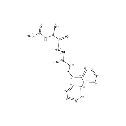 CCCC(NC(=O)C(=O)O)C(=O)NNC(=O)OCC1c2ccccc2-c2ccccc21